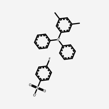 Cc1cc(C)cc([S+](c2ccccc2)c2ccccc2)c1.O=S(=O)([O-])c1ccc(F)cc1